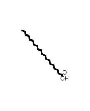 CCC=CC=CCCC=CCCCCCCCCCC(=O)O